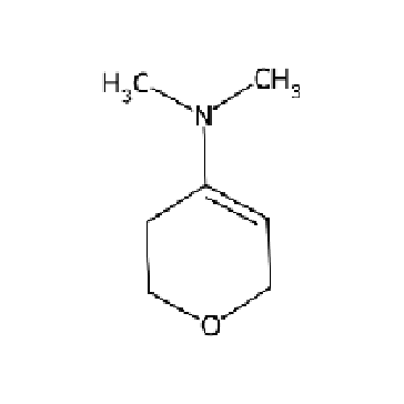 CN(C)C1=CCOCC1